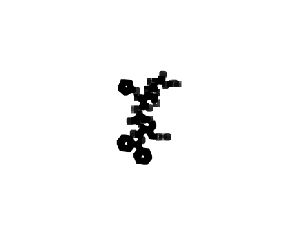 CC(C)(C)OC(=O)Nc1nc(C(=NOC2CCCC2)C(=O)NC2C(=O)N3C(C(=O)OC(c4ccccc4)c4ccccc4)=C(CC=O)CSC23)c(Cl)s1